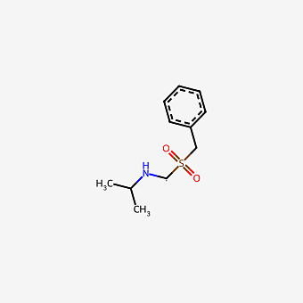 CC(C)N[CH]S(=O)(=O)Cc1ccccc1